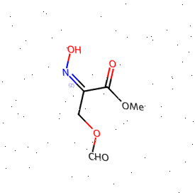 COC(=O)/C(COC=O)=N\O